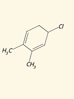 CC1=CCC(Cl)C=C1C